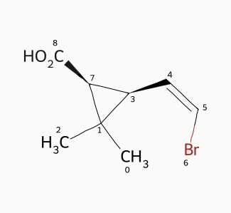 CC1(C)[C@H](/C=C\Br)[C@@H]1C(=O)O